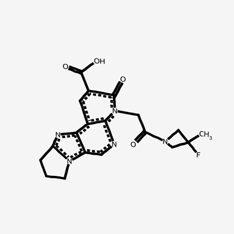 CC1(F)CN(C(=O)Cn2c(=O)c(C(=O)O)cc3c4nc5n(c4cnc32)CCC5)C1